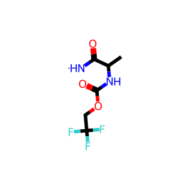 CC(NC(=O)OCC(F)(F)F)C([NH])=O